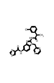 CC(C(=O)Nc1nc2cc(NC(=O)c3cscn3)ccc2n1Cc1cnccn1)c1cccc(Cl)c1